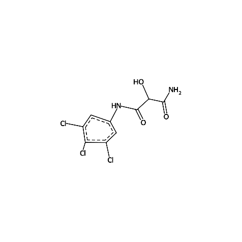 NC(=O)C(O)C(=O)Nc1cc(Cl)c(Cl)c(Cl)c1